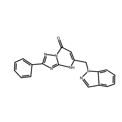 O=c1cc(Cn2ncc3ccccc32)[nH]c2nc(-c3ccccc3)nn12